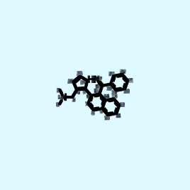 CN(C)CC1=C(c2ccc3ccccc3c2C(=N)c2ccccc2)CC=C1